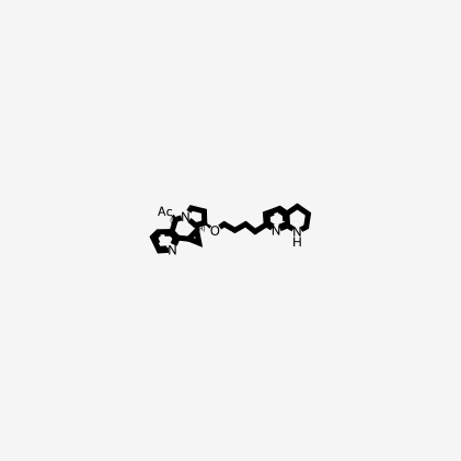 CC(=O)[C@H](c1cccnc1C1CC1)N1CC[C@@H](OCCCCc2ccc3c(n2)NCCC3)C1